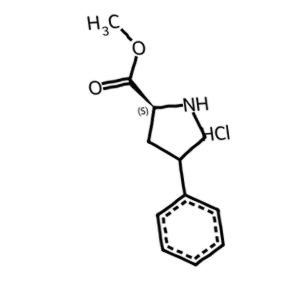 COC(=O)[C@@H]1CC(c2ccccc2)CN1.Cl